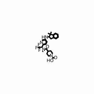 CN(C(=O)C1CCN(C(=O)O)CC1)C(c1ccc(NC2Cc3ccccc3C2(C)C)cn1)C(F)(F)F